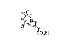 CCOC(=O)Cc1cc2n(c1)CC1(CC1)CC2=O